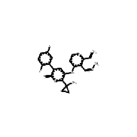 C=Cc1nccc(Nc2cc(-c3cc(Cl)ccc3F)c(=O)[nH]c2C2(C)CC2)c1/C=N\C